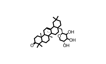 CC1(C)CC[C@]2(C[C@@H]3OC[C@@H](O)C(O)C3O)CC[C@]3(C)C(=CCC4[C@@]5(C)CCC(=O)C(C)(C)C5CC[C@]43C)C2C1